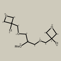 CCC1(COCC(COCC2(CC)COC2)OC)COC1